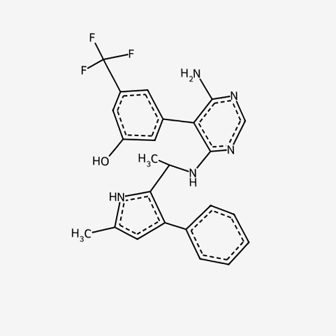 Cc1cc(-c2ccccc2)c(C(C)Nc2ncnc(N)c2-c2cc(O)cc(C(F)(F)F)c2)[nH]1